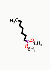 CCCCCCCP(OC)OC